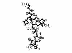 C=CCNC(=O)C(=O)C(CC1CCC1)NC(=O)[C@@H]1[C@H]2CCC(C)[C@H]2CN1C(=O)[C@@H](NC(=O)N[C@H](CN1C(=O)CC(C)(C)CC1=O)C(C)(C)C)C(C)(C)C